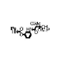 COC(C)(CC(=O)Nc1cccc(OC(=O)NC(C)C)c1)OC